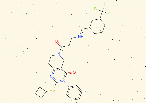 O=C(CCNCC1CCCC(C(F)(F)F)C1)N1CCc2nc(SC3CCC3)n(-c3ccccc3)c(=O)c2C1